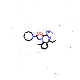 CCC1=NC(N)C(=O)N(CC(=O)N2CCCCCCC2)c2c(C)cccc21